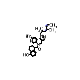 C=C(/C=C(C)\C=C/C)Cn1cc(CN(C(=O)C2CCCc3c(O)cccc32)c2ccc(C(C)C)nc2)cn1